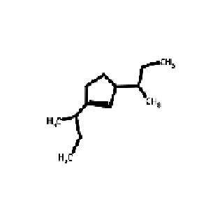 CCC(C)C1=CC(C(C)CC)CC1